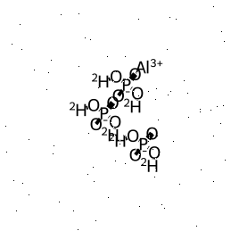 [2H]OP(=O)([O-])O[2H].[2H]OP(=O)([O-])O[2H].[2H]OP(=O)([O-])O[2H].[Al+3]